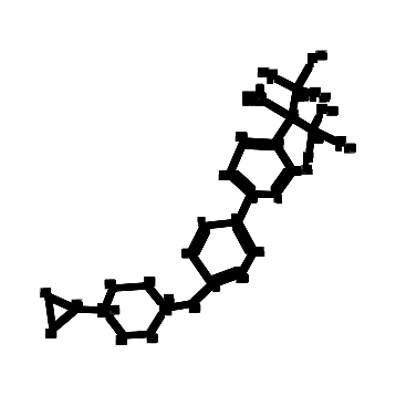 OC(c1ccc(-c2ccc(CN3CCN(C4CC4)CC3)cc2)cc1)(C(F)(F)F)C(F)(F)F